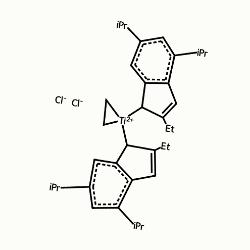 CCC1=Cc2c(C(C)C)cc(C(C)C)cc2[CH]1[Ti+2]1([CH]2C(CC)=Cc3c(C(C)C)cc(C(C)C)cc32)[CH2][CH2]1.[Cl-].[Cl-]